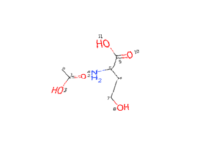 CC(=O)O.NC(CCO)C(=O)O